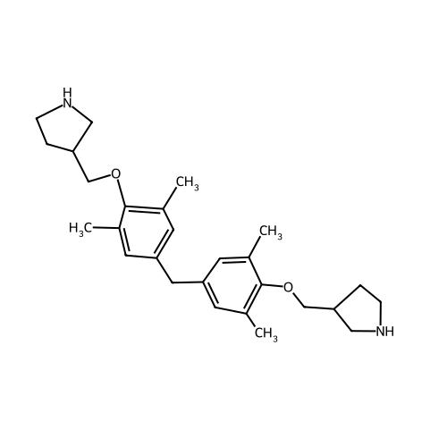 Cc1cc(Cc2cc(C)c(OCC3CCNC3)c(C)c2)cc(C)c1OCC1CCNC1